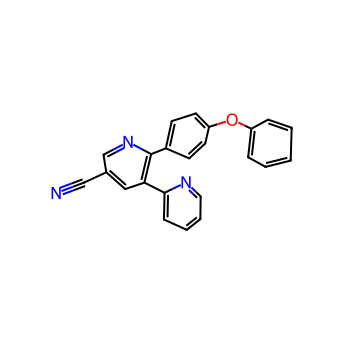 N#Cc1cnc(-c2ccc(Oc3ccccc3)cc2)c(-c2ccccn2)c1